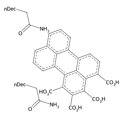 CCCCCCCCCCCC(N)=O.CCCCCCCCCCCC(N)=O.O=C(O)c1c(C(=O)O)c2c(C(=O)O)ccc3c4cccc5cccc(c(c1C(=O)O)c23)c54